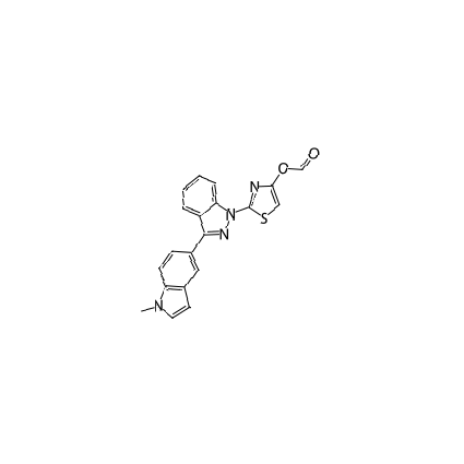 Cn1ccc2cc(-c3nn(-c4nc(OC=O)cs4)c4ccccc34)ccc21